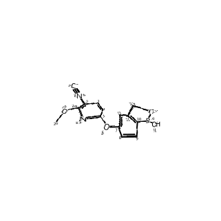 [C-]#[N+]c1ccc(Oc2ccc3c(c2)COB3O)nc1OC